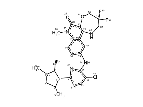 CC(C)C1N(C)CC(C)N1c1ncc(Cl)c(Nc2ccc3c(c2)c2c(c(=O)n3C)OCC(F)(F)CN2)n1